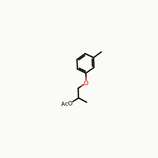 CC(=O)OC(C)COc1cccc(C)c1